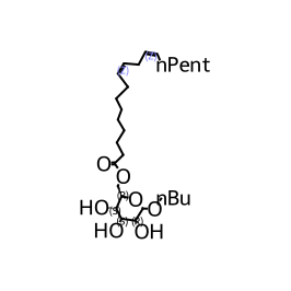 CCCCC/C=C\C/C=C\CCCCCCCC(=O)OC[C@H]1OC(OCCCC)[C@H](O)[C@@H](O)[C@@H]1O